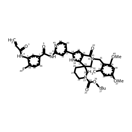 C=CC(=O)Nc1cc(C(=O)Nc2cc(-c3cc4c([nH]3)C3(CCCN(C(=O)OC(C)(C)C)C3)CN(Cc3c(C)cc(OC)cc3OC)C4=O)ccn2)ccc1F